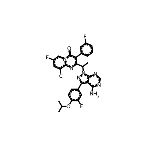 CC(C)Oc1ccc(-c2nn(C(C)c3nc4c(Cl)cc(F)cn4c(=O)c3-c3cccc(F)c3)c3ncnc(N)c23)cc1F